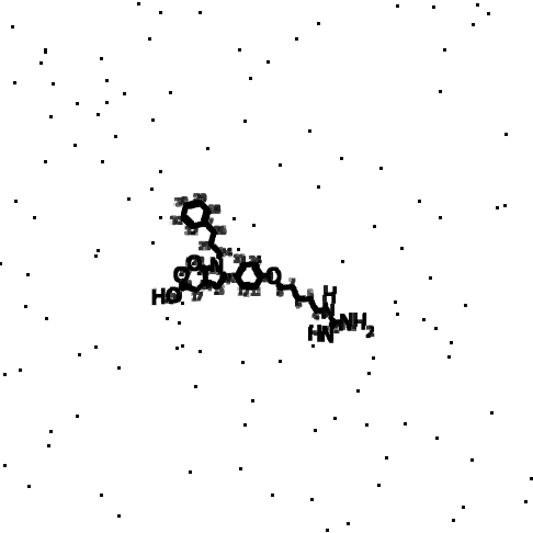 N=C(N)NCCCCCOc1ccc([C@@H]2C[C@@H](CC(=O)O)C(=O)N2CCCc2ccccc2)cc1